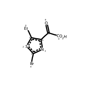 CCc1sc(Br)nc1C(=O)C(=O)O